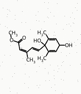 COC(=O)/C=C(C)\C=C\C1(O)C(C)=CC(O)C=C1C